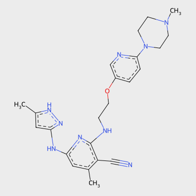 Cc1cc(Nc2cc(C)c(C#N)c(NCCOc3ccc(N4CCN(C)CC4)nc3)n2)n[nH]1